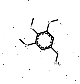 COc1cc(CP)cc(OC)c1OC